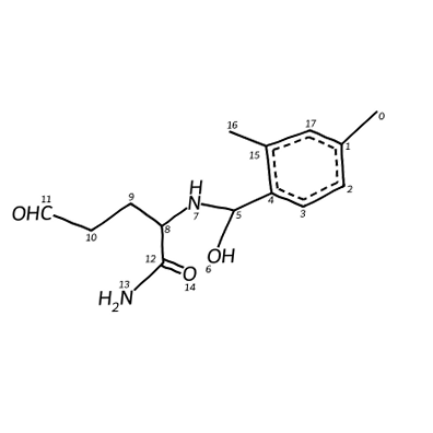 Cc1ccc(C(O)NC(CCC=O)C(N)=O)c(C)c1